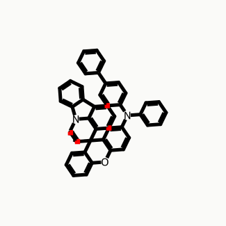 c1ccc(-c2ccc(N(c3ccccc3)c3ccc4c(c3)C3(c5ccccc5O4)c4ccccc4-n4c5ccccc5c5cccc3c54)cc2)cc1